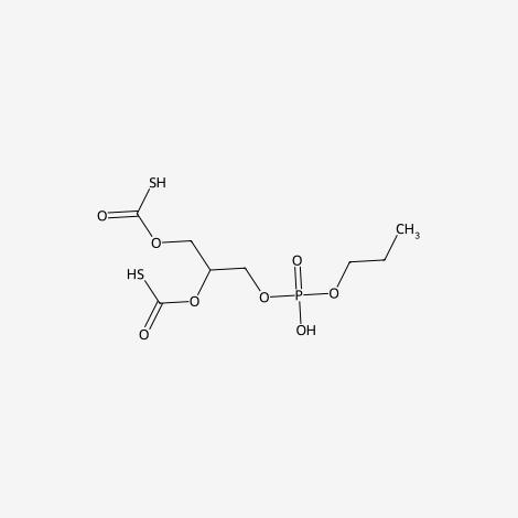 CCCOP(=O)(O)OCC(COC(=O)S)OC(=O)S